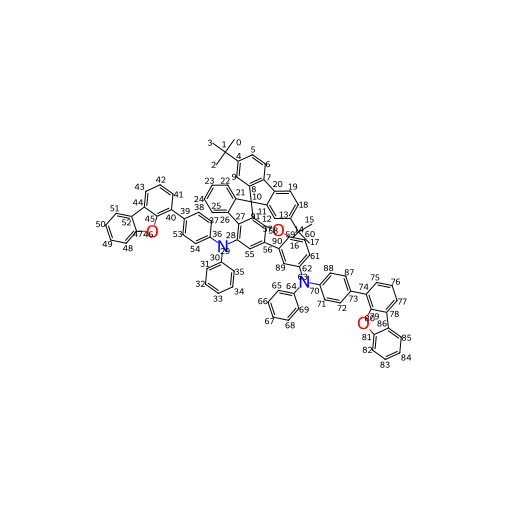 CC(C)(C)c1ccc2c(c1)C1(c3cc(C(C)(C)C)ccc3-2)c2ccccc2-c2c(N(c3ccccc3)c3ccc(-c4cccc5c4oc4ccccc45)cc3)cc3c(oc4ccc(N(c5ccccc5)c5ccc(-c6cccc7c6oc6ccccc67)cc5)cc43)c21